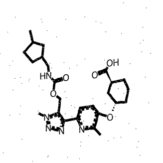 Cc1nc(-c2nnn(C)c2COC(=O)NCC2CCC(C)C2)ccc1O[C@H]1CCC[C@H](C(=O)O)C1